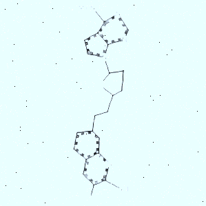 CNc1ncnc2c1ccn2C1CCC(CCc2ccc3cc(F)c(N)nc3c2)O1